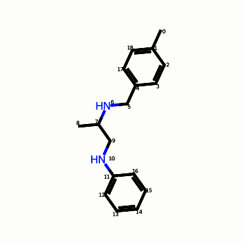 Cc1ccc(CNC(C)CNc2ccccc2)cc1